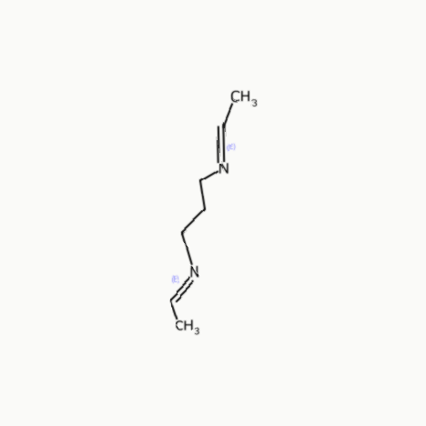 C/C=N/CCC/N=C/C